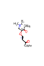 COC(=O)/C=C/O[C@@H](CN(C)C)C(=O)OC